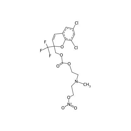 CN(CCOC(=O)OCC1(C(F)(F)F)C=Cc2cc(Cl)cc(Cl)c2O1)CCO[N+](=O)[O-]